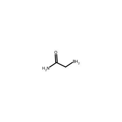 BCC(N)=O